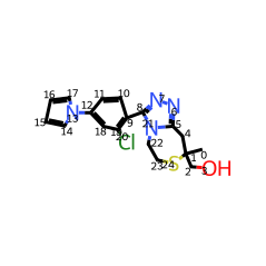 CC1(CO)Cc2nnc(-c3ccc(-n4cccc4)cc3Cl)n2CCS1